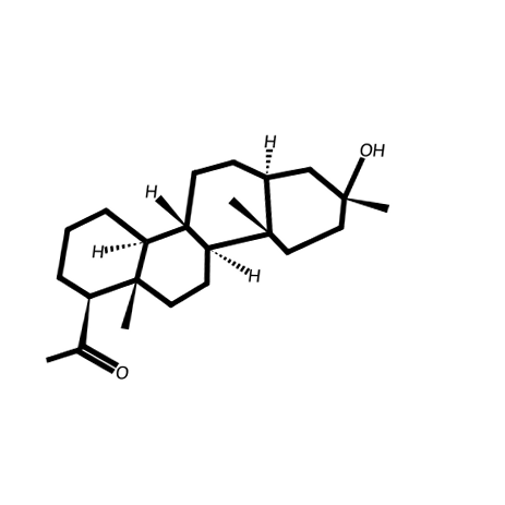 CC(=O)[C@H]1CCC[C@H]2[C@@H]3CC[C@H]4C[C@](C)(O)CC[C@]4(C)[C@H]3CC[C@]12C